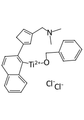 CN(C)CC1=CCC(c2ccc3ccccc3[c]2[Ti+2][O]Cc2ccccc2)=C1.[Cl-].[Cl-]